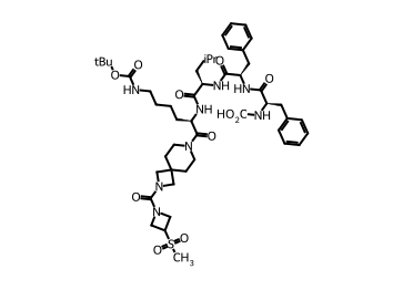 CC(C)C[C@@H](NC(=O)[C@@H](Cc1ccccc1)NC(=O)[C@@H](Cc1ccccc1)NC(=O)O)C(=O)N[C@H](CCCCNC(=O)OC(C)(C)C)C(=O)N1CCC2(CC1)CN(C(=O)N1CC(S(C)(=O)=O)C1)C2